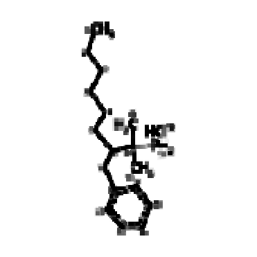 CCCCCCC(Cc1ccccc1)C(C)(C)P.Cl